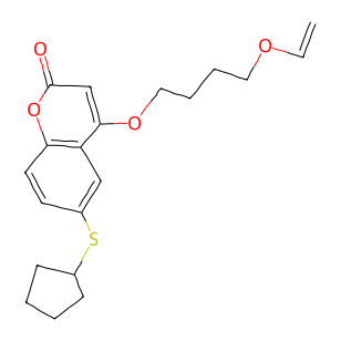 C=COCCCCOc1cc(=O)oc2ccc(SC3CCCC3)cc12